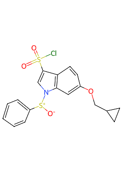 O=S(=O)(Cl)c1cn([S+]([O-])c2ccccc2)c2cc(OCC3CC3)ccc12